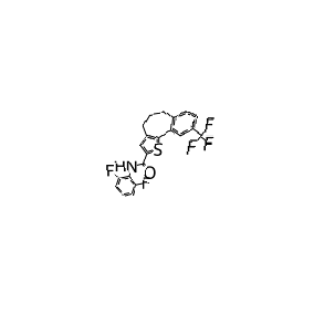 O=C(Nc1c(F)cccc1F)c1cc2c(s1)-c1cc(C(F)(F)F)ccc1CCC2